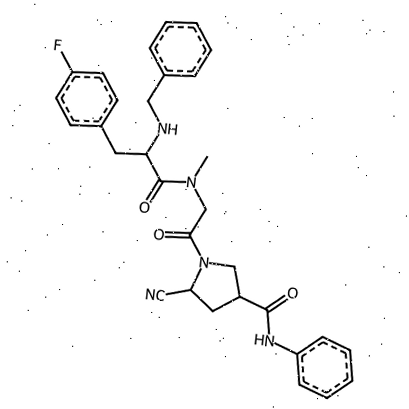 CN(CC(=O)N1CC(C(=O)Nc2ccccc2)CC1C#N)C(=O)C(Cc1ccc(F)cc1)NCc1ccccc1